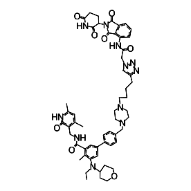 CCN(c1cc(-c2ccc(CN3CCN(CCCCc4cn(CC(=O)Nc5cccc6c5C(=O)N(C5CCC(=O)NC5=O)C6=O)nn4)CC3)cc2)cc(C(=O)NCc2c(C)cc(C)[nH]c2=O)c1C)C1CCOCC1